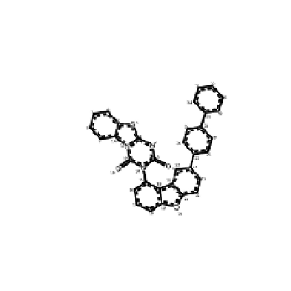 O=c1nc2sc3ccccc3n2c(=O)n1-c1cccc2oc3ccc(-c4ccc(-c5ccccc5)cc4)cc3c12